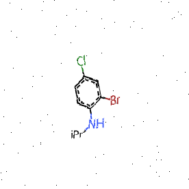 CC(C)Nc1ccc(Cl)cc1Br